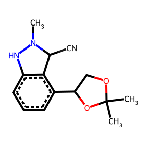 CN1Nc2cccc(C3COC(C)(C)O3)c2C1C#N